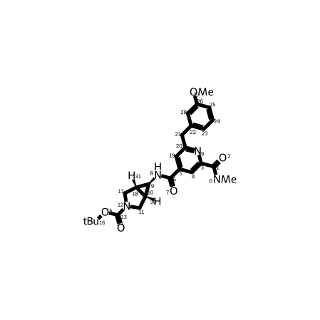 CNC(=O)c1cc(C(=O)N[C@H]2[C@@H]3CN(C(=O)OC(C)(C)C)C[C@@H]32)cc(Cc2cccc(OC)c2)n1